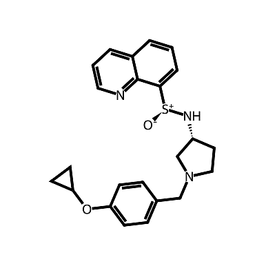 [O-][S@+](N[C@@H]1CCN(Cc2ccc(OC3CC3)cc2)C1)c1cccc2cccnc12